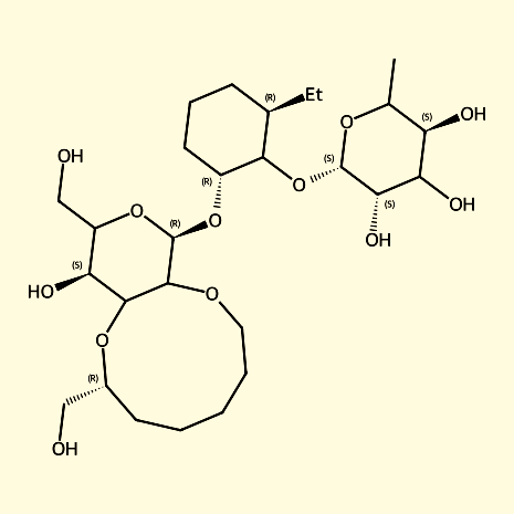 CC[C@@H]1CCC[C@@H](O[C@@H]2OC(CO)[C@H](O)C3O[C@@H](CO)CCCCCOC32)C1O[C@@H]1OC(C)[C@@H](O)C(O)[C@@H]1O